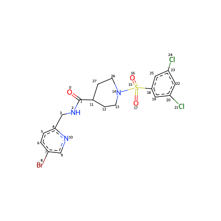 O=C(NCc1ccc(Br)cn1)C1CCN(S(=O)(=O)c2cc(Cl)cc(Cl)c2)CC1